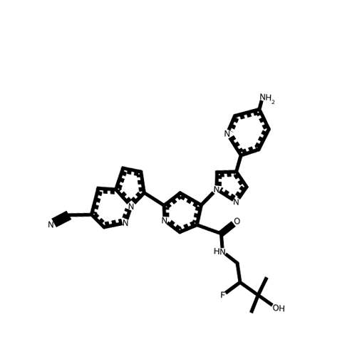 CC(C)(O)C(F)CNC(=O)c1cnc(-c2ccc3cc(C#N)cnn23)cc1-n1cc(-c2ccc(N)cn2)cn1